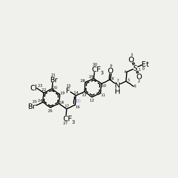 CCS(=O)(=O)CC(C)NC(=O)c1ccc(/C(F)=C/C(c2cc(Br)c(Cl)c(Br)c2)C(F)(F)F)cc1C(F)(F)F